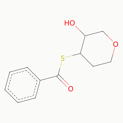 O=C(SC1CCOCC1O)c1ccccc1